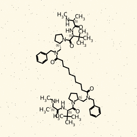 CN[C@@H](C)C(=O)N[C@H](C(=O)N1CCC[C@H]1CN(Cc1ccccc1)C(=O)CCCCCCCCC(=O)N(Cc1ccccc1)C[C@@H]1CCCN1C(=O)[C@@H](NC(=O)[C@H](C)NC)C(C)(C)C)C(C)(C)C